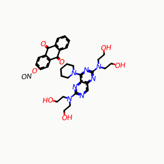 O=C1c2ccccc2C(=O)c2ccccc21.O=[NH+][O-].OCCN(CCO)c1nc(N2CCCCC2)c2nc(N(CCO)CCO)ncc2n1